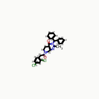 Cc1nc2c(c(=O)n1C(c1ccccc1)c1ccccc1)CCN(C(=O)Cc1ccc(Cl)cc1Cl)C2